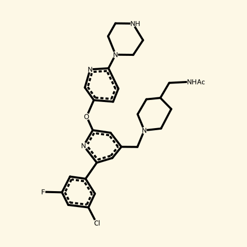 CC(=O)NCC1CCN(Cc2cc(Oc3ccc(N4CCNCC4)nc3)nc(-c3cc(F)cc(Cl)c3)c2)CC1